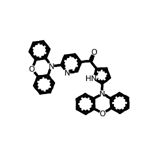 O=C(c1ccc(N2c3ccccc3Oc3ccccc32)nc1)c1ccc(N2c3ccccc3Oc3ccccc32)[nH]1